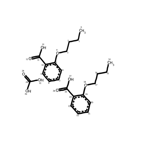 CCCCOc1ccccc1C(=O)O.CCCCOc1ccccc1C(=O)O.O=C(O)O